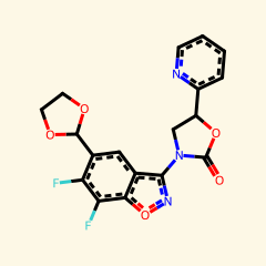 O=C1OC(c2ccccn2)CN1c1noc2c(F)c(F)c(C3OCCO3)cc12